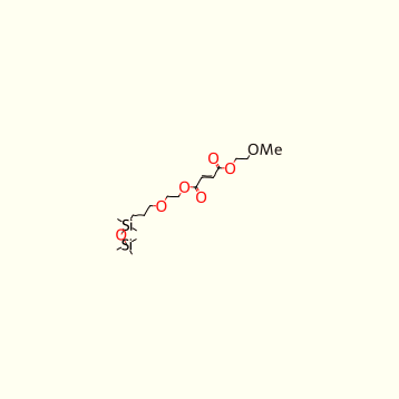 COCCOC(=O)/C=C/C(=O)OCCOCCC[Si](C)(C)O[Si](C)(C)C